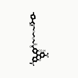 Cc1ccc(-c2cn(CCOCCOCCNC(=O)c3ccc(C4=C5C=CC(N(C)C)=CC5Oc5cc(N(C)C)ccc54)c(C(=O)O)c3)nn2)cc1